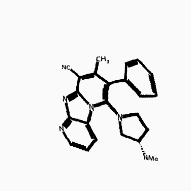 CN[C@H]1CCN(c2c(-c3ccccc3)c(C)c(C#N)c3nc4ncccc4n23)C1